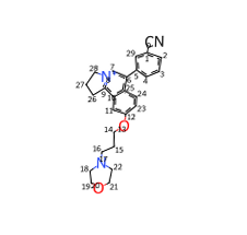 N#Cc1cccc(-c2c[n+]3c(c4cc(OCCCN5CCOCC5)ccc24)CCC3)c1